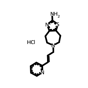 Cl.Nc1nc2c(s1)CCN(CC=Cc1ccccn1)CC2